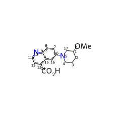 COC1CCCN(c2ccc3nccc(C(=O)O)c3c2)C1